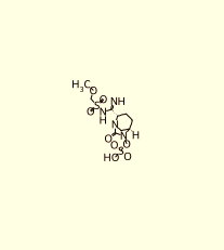 COCS(=O)(=O)NC(=N)[C@@H]1CC[C@@H]2CN1C(=O)N2OS(=O)(=O)O